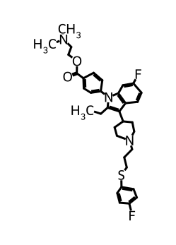 CCc1c(C2CCN(CCCSc3ccc(F)cc3)CC2)c2ccc(F)cc2n1-c1ccc(C(=O)OCCN(C)C)cc1